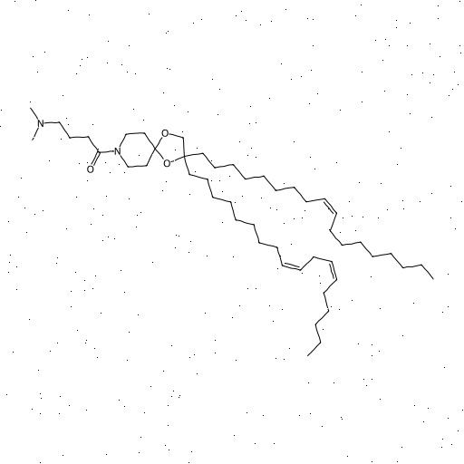 CCCCC/C=C\C/C=C\CCCCCCCCC1(CCCCCCCC/C=C\CCCCCCCC)COC2(CCN(C(=O)CCCN(C)C)CC2)O1